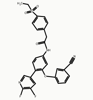 CCS(=O)(=O)c1ccc(CC(=O)Nc2ccc(-c3cnc(F)c(F)c3)c(Oc3cccc(C#N)c3)c2)cc1